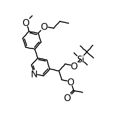 CCCOc1cc(-c2cncc(C(COC(C)=O)CO[Si](C)(C)C(C)(C)C)c2)ccc1OC